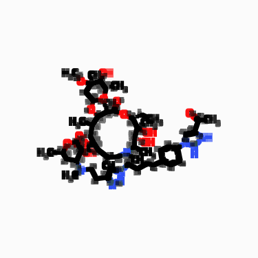 CC[C@H]1OC(=O)[C@H](C)[C@@H](O[C@H]2C[C@@](C)(OC)[C@@H](O)[C@H](C)O2)[C@H](C)[C@@H](O[C@@H]2O[C@H](C)C[C@H](N(C)CCc3cn(CCCCc4ccc(N5C=C(C(C)=O)NN5)cc4)nn3)[C@H]2O)[C@](C)(O)C[C@@H](C)CN(C)[C@H](C)[C@@H](O)[C@]1(C)O